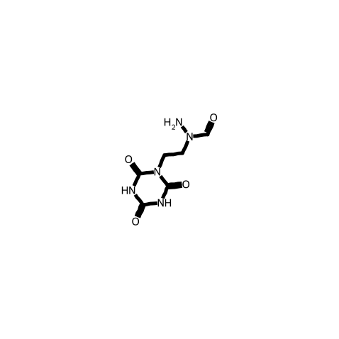 NN(C=O)CCn1c(=O)[nH]c(=O)[nH]c1=O